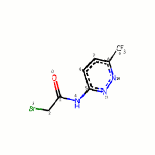 O=C(CBr)Nc1ccc(C(F)(F)F)nn1